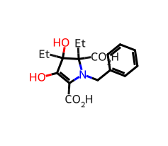 CCC1(O)C(O)=C(C(=O)O)N(Cc2ccccc2)C1(CC)C(=O)O